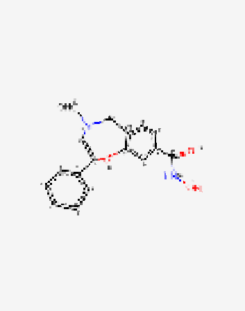 O=CN1C=C(c2ccccc2)Oc2cc(C(=O)NO)ccc2C1